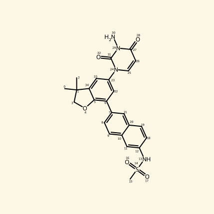 CC1(C)COc2c(-c3ccc4cc(NS(C)(=O)=O)ccc4c3)cc(-n3ccc(=O)n(N)c3=O)cc21